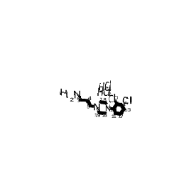 Cl.Cl.NCCCN1CCN(c2cccc(Cl)c2Cl)CC1